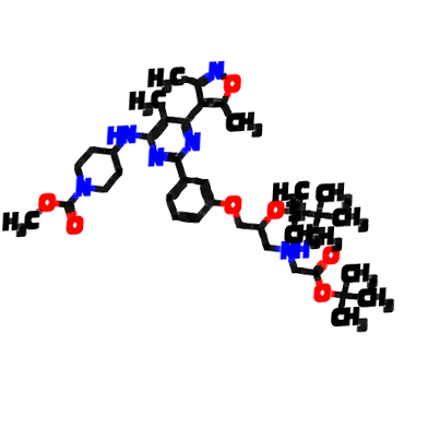 COC(=O)N1CCC(Nc2nc(-c3cccc(OCC(CNCC(=O)OC(C)(C)C)O[Si](C)(C)C(C)(C)C)c3)nc(-c3c(C)noc3C)c2C)CC1